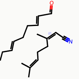 CC(C)=CCC/C(C)=C\C#N.CCC=CCCC=CC=O